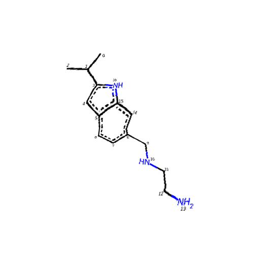 CC(C)c1cc2ccc(CNCCN)cc2[nH]1